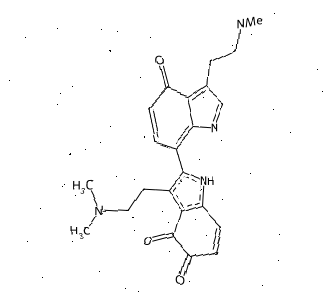 CNCCC1=C2C(=O)C=CC(c3[nH]c4c(c3CCN(C)C)C(=O)C(=O)C=C4)=C2N=C1